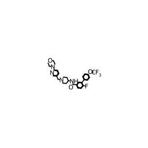 O=C(NC1CCN(Cc2ccc(N3CCOCC3)nc2)CC1)c1ccc(F)c(-c2ccc(OC(F)(F)F)cc2)c1